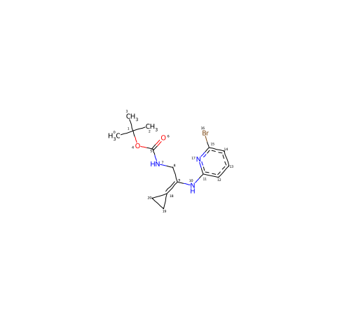 CC(C)(C)OC(=O)NCC(Nc1cccc(Br)n1)=C1CC1